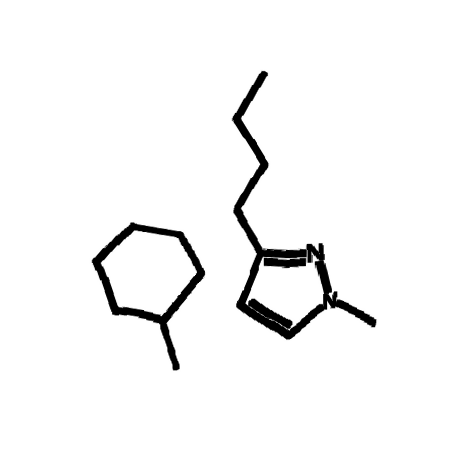 CC1CCCCC1.CCCCc1ccn(C)n1